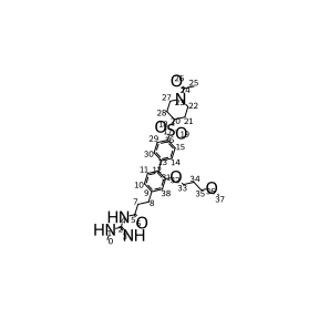 CNC(=N)NC(=O)CCc1ccc(-c2ccc(S(=O)(=O)C3CCN(C(C)=O)CC3)cc2)c(OCCCOC)c1